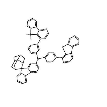 CC1(C)c2ccccc2-c2cccc(-c3cccc(N(c4ccc(-c5cccc6c5sc5ccccc56)cc4)c4ccc5c(c4)C4(c6ccccc6-5)C5CC6CC(C5)CC4C6)c3)c21